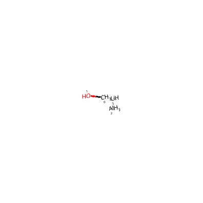 CO.[AlH3].[LiH]